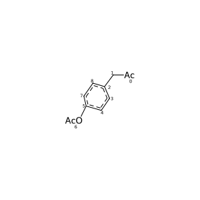 CC(=O)Cc1ccc(OC(C)=O)cc1